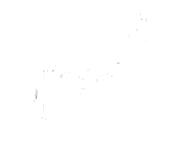 CC/C=C\C/C=C\C/C=C\C=C\[C@@H](O)C/C=C\CCCCCC(=O)O